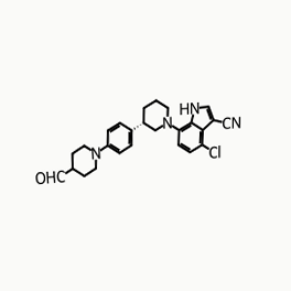 N#Cc1c[nH]c2c(N3CCC[C@@H](c4ccc(N5CCC(C=O)CC5)cc4)C3)ccc(Cl)c12